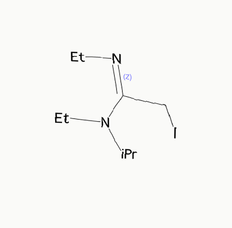 CC/N=C(/CI)N(CC)C(C)C